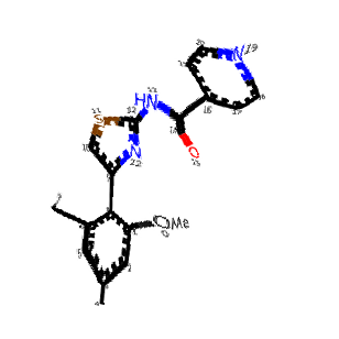 COc1cc(C)cc(C)c1-c1csc(NC(=O)c2ccncc2)n1